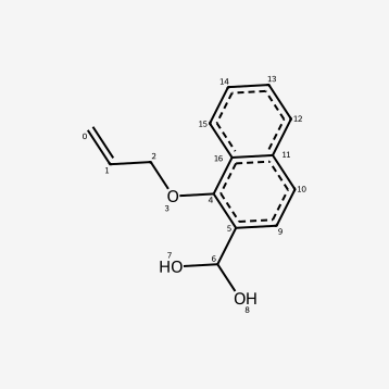 C=CCOc1c(C(O)O)ccc2ccccc12